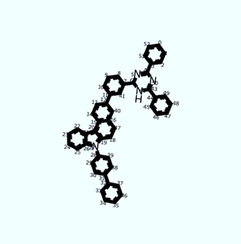 c1ccc(C2=NC(c3cccc(-c4ccc5c(ccc6c5c5ccccc5n6-c5ccc(-c6ccccc6)cc5)c4)c3)NC(c3ccccc3)=N2)cc1